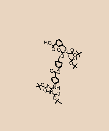 CC(C)(C)OC(=O)C[C@@H](C(=O)OC(C)(C)C)N(Cc1cccc(C(=O)O)c1)C(=O)OCc1ccc(OC(=O)c2ccc(NC(=NC(=O)OC(C)(C)C)NC(=O)OC(C)(C)C)cc2)cc1